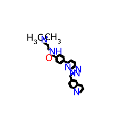 CN(C)CCCNC(=O)c1ccc(-c2ccc3nnn(Cc4ccc5ncccc5c4)c3n2)cc1